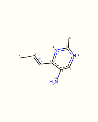 C/C=C/c1nc(C)ncc1N